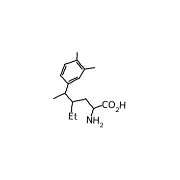 CCC(CC(N)C(=O)O)C(C)c1ccc(C)c(C)c1